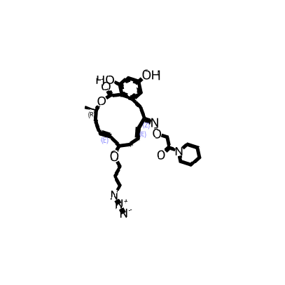 C[C@@H]1C/C=C/C(OCCCN=[N+]=[N-])C/C=C/C(=N\OCC(=O)N2CCCCC2)Cc2cc(O)cc(O)c2C(=O)O1